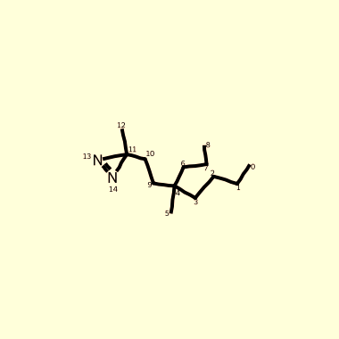 CCCCC(C)(CCC)CCC1(C)N=N1